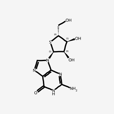 Nc1nc2c(ncn2[C@H]2S[C@H](CO)[C@@H](O)[C@H]2O)c(=O)[nH]1